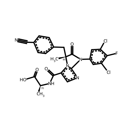 C[C@H](NC(=O)c1cnc2n1[C@](C)(Cc1ccc(C#N)cc1)C(=O)N2c1cc(Cl)c(F)c(Cl)c1)C(=O)O